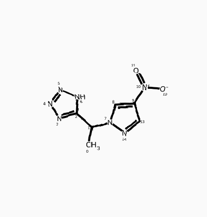 CC(c1nnn[nH]1)n1cc([N+](=O)[O-])cn1